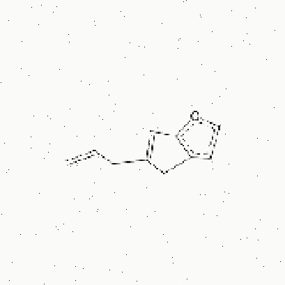 C=CCC1=Cc2occc2C1